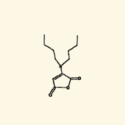 CCCCN(CCCC)C1=CC(=O)OC1=O